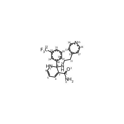 NC(=O)C1=CC=CNC1(NCCc1ccncc1)c1cccc(C(F)(F)F)c1